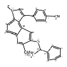 COc1cc2ncc3c(c(-c4ccc(C#N)cc4)nn3C)c2cc1OC(C(=O)O)c1ccccc1